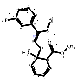 COC(=O)C1C=CC=CC1(C)C/C=C(\CO)c1cccc(F)c1